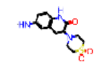 [NH]c1ccc2c(c1)CC(N1CCS(=O)(=O)CC1)C(=O)N2